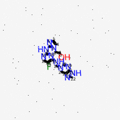 OCCn1ccnc1Nc1ncc(F)c(NCN2C=Nc3[nH]cnc3C2)n1